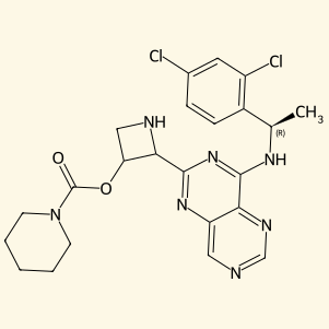 C[C@@H](Nc1nc(C2NCC2OC(=O)N2CCCCC2)nc2cncnc12)c1ccc(Cl)cc1Cl